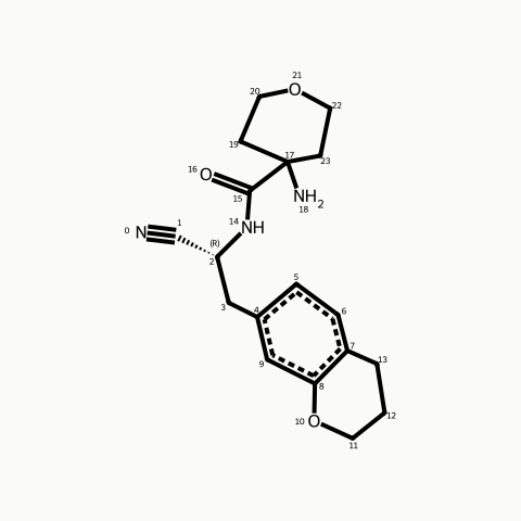 N#C[C@@H](Cc1ccc2c(c1)OCCC2)NC(=O)C1(N)CCOCC1